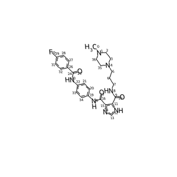 CN1CCN(CCCNC(=O)c2[nH]cnc2C(=O)Nc2ccc(NC(=O)c3ccc(F)cc3)cc2)CC1